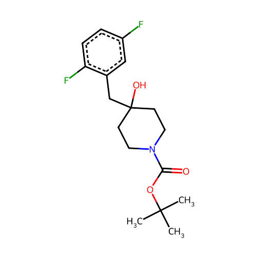 CC(C)(C)OC(=O)N1CCC(O)(Cc2cc(F)ccc2F)CC1